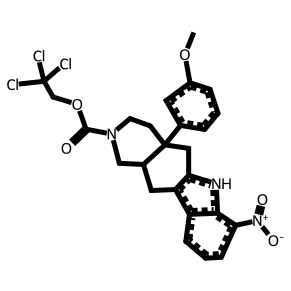 COc1cccc(C23CCN(C(=O)OCC(Cl)(Cl)Cl)CC2Cc2c([nH]c4c([N+](=O)[O-])cccc24)C3)c1